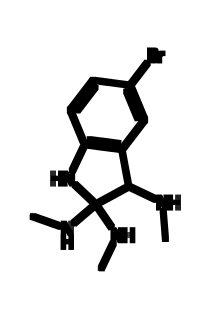 CNC1c2cc(Br)ccc2NC1(NC)NC